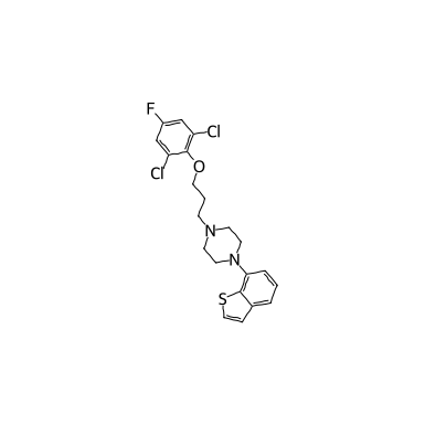 Fc1cc(Cl)c(OCCCN2CCN(c3cccc4ccsc34)CC2)c(Cl)c1